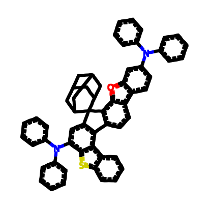 c1ccc(N(c2ccccc2)c2ccc3c(c2)oc2c4c(ccc23)-c2c(cc(N(c3ccccc3)c3ccccc3)c3sc5ccccc5c23)C42C3CC4CC(C3)CC2C4)cc1